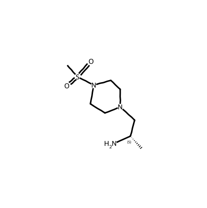 C[C@H](N)CN1CCN(S(C)(=O)=O)CC1